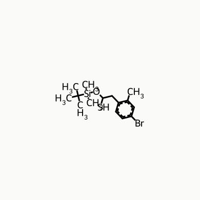 Cc1cc(Br)ccc1CC(S)O[Si](C)(C)C(C)(C)C